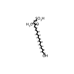 CN(CCS(=O)(=O)O)C(=O)CCCCCCCCCCCCCCCCO